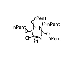 CCCCCON1P(OCCCCC)N=P(Cl)(Cl)N(OCCCCC)P1OCCCCC